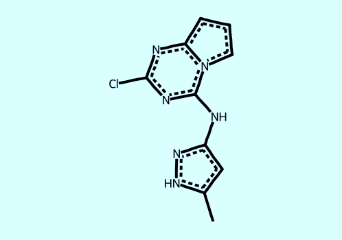 Cc1cc(Nc2nc(Cl)nc3cccn23)n[nH]1